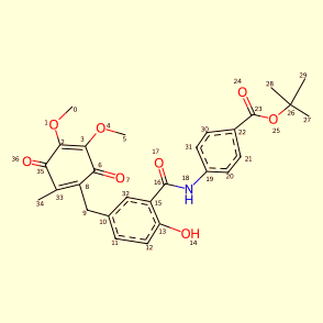 COC1=C(OC)C(=O)C(Cc2ccc(O)c(C(=O)Nc3ccc(C(=O)OC(C)(C)C)cc3)c2)=C(C)C1=O